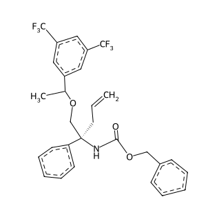 C=CC[C@](COC(C)c1cc(C(F)(F)F)cc(C(F)(F)F)c1)(NC(=O)OCc1ccccc1)c1ccccc1